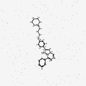 C1=NN=C(c2ccccc2)N2NC(c3ccc(OCCCN4CCCCC4)cc3)=CC12